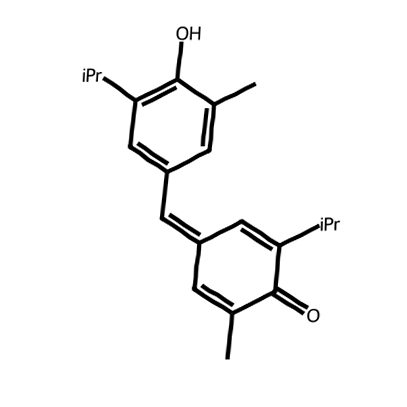 CC1=CC(=Cc2cc(C)c(O)c(C(C)C)c2)C=C(C(C)C)C1=O